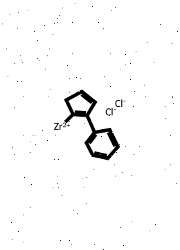 [Cl-].[Cl-].[Zr+2][C]1=C(c2ccccc2)C=CC1